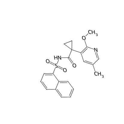 COc1ncc(C)cc1C1(C(=O)NS(=O)(=O)c2cccc3ccccc23)CC1